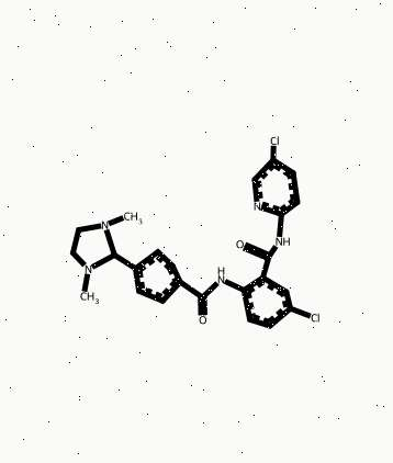 CN1CCN(C)C1c1ccc(C(=O)Nc2ccc(Cl)cc2C(=O)Nc2ccc(Cl)cn2)cc1